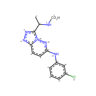 CC(NC(=O)O)c1nnc2ccc(Nc3cccc(Cl)c3)nn12